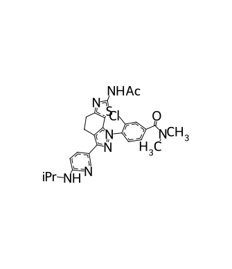 CC(=O)Nc1nc2c(s1)-c1c(c(-c3ccc(NC(C)C)nc3)nn1-c1ccc(C(=O)N(C)C)cc1Cl)CC2